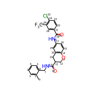 Cc1ccccc1CNC(=O)C1COc2ccc(NC(=O)c3ccc(Cl)c(C(F)(F)F)c3)cc2C1